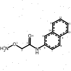 NOCC(=O)Nc1ccc2ccccc2c1